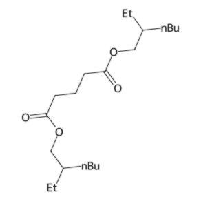 CCCCC(CC)COC(=O)CCCC(=O)OCC(CC)CCCC